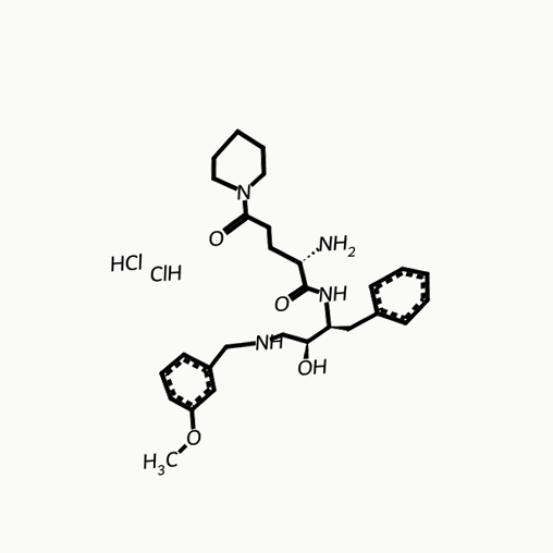 COc1cccc(CNC[C@H](O)[C@H](Cc2ccccc2)NC(=O)[C@@H](N)CCC(=O)N2CCCCC2)c1.Cl.Cl